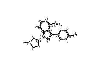 CN1CC[C@@H](n2nc(-c3ccc(Cl)cc3)c3c(N)ncnc32)C1